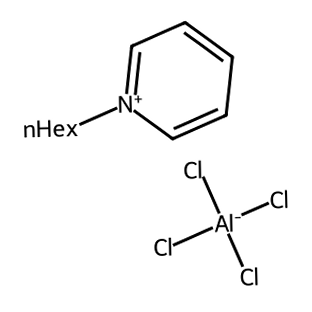 CCCCCC[n+]1ccccc1.[Cl][Al-]([Cl])([Cl])[Cl]